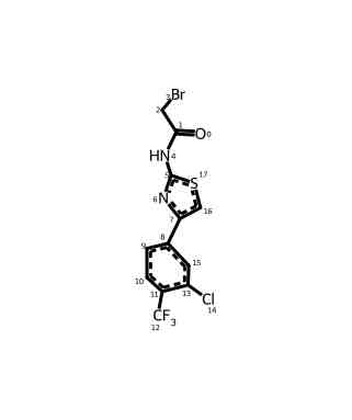 O=C(CBr)Nc1nc(-c2ccc(C(F)(F)F)c(Cl)c2)cs1